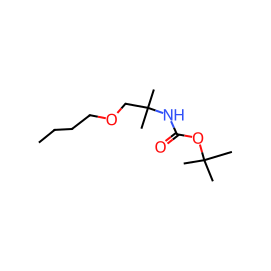 CCCCOCC(C)(C)NC(=O)OC(C)(C)C